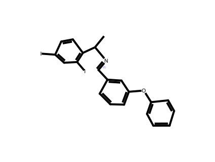 CC(/N=C/c1cccc(Oc2ccccc2)c1)c1ccc(I)cc1I